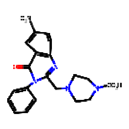 O=C(O)N1CCN(Cc2nc3ccc([N+](=O)[O-])cc3c(=O)n2-c2ccccc2)CC1